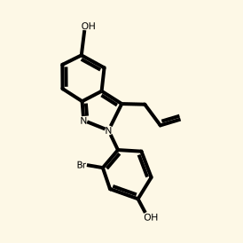 C=CCc1c2cc(O)ccc2nn1-c1ccc(O)cc1Br